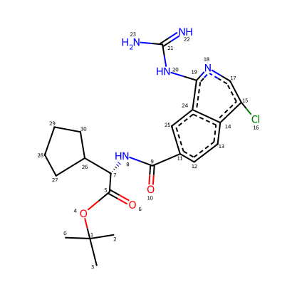 CC(C)(C)OC(=O)[C@@H](NC(=O)c1ccc2c(Cl)cnc(NC(=N)N)c2c1)C1CCCC1